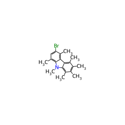 Cc1c(C)c(C)c2c(c1C)c1c(C)c(Br)cc(C)c1n2C